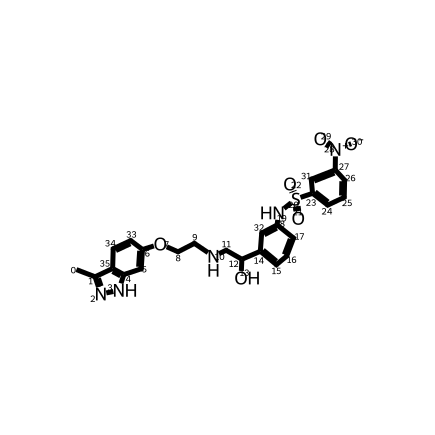 Cc1n[nH]c2cc(OCCNCC(O)c3cccc(NS(=O)(=O)c4cccc([N+](=O)[O-])c4)c3)ccc12